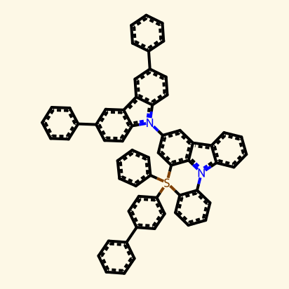 c1ccc(-c2ccc(S3(c4ccccc4)c4ccccc4-n4c5ccccc5c5cc(-n6c7ccc(-c8ccccc8)cc7c7cc(-c8ccccc8)ccc76)cc3c54)cc2)cc1